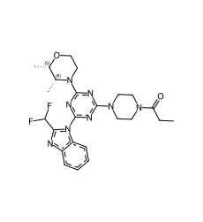 CCC(=O)N1CCN(c2nc(N3CCO[C@@H](C)[C@H]3C)nc(-n3c(C(F)F)nc4ccccc43)n2)CC1